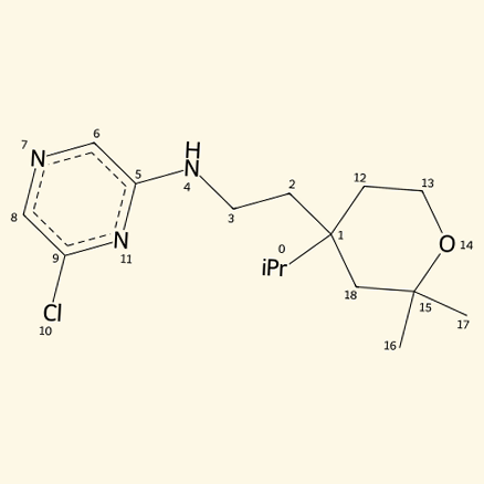 CC(C)C1(CCNc2cncc(Cl)n2)CCOC(C)(C)C1